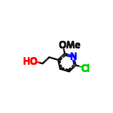 COc1nc(Cl)ccc1CCO